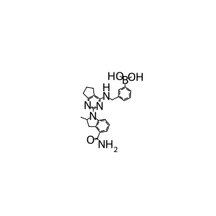 CC1Cc2c(C(N)=O)cccc2N1c1nc2c(c(NCc3cccc(B(O)O)c3)n1)CCC2